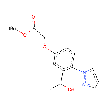 CC(O)c1cc(OCC(=O)OC(C)(C)C)ccc1-n1cccn1